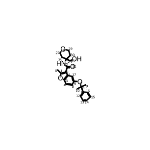 Cc1oc2ccc(OC(C)(C)c3ccccc3)cc2c1C(=O)NC1(CO)CCOCC1